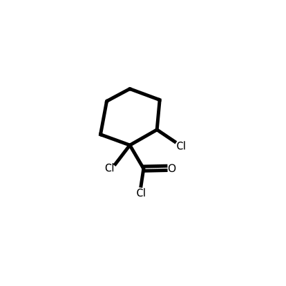 O=C(Cl)C1(Cl)CCCCC1Cl